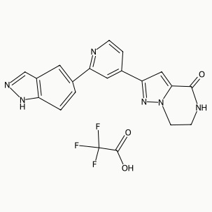 O=C(O)C(F)(F)F.O=C1NCCn2nc(-c3ccnc(-c4ccc5[nH]ncc5c4)c3)cc21